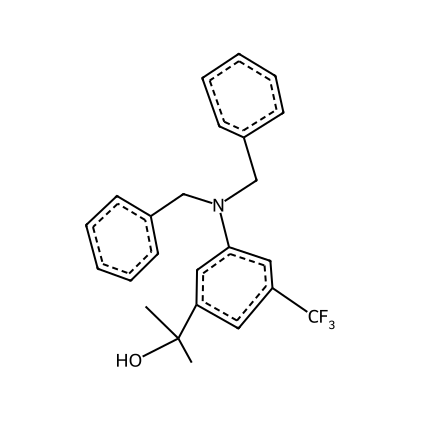 CC(C)(O)c1cc(N(Cc2ccccc2)Cc2ccccc2)cc(C(F)(F)F)c1